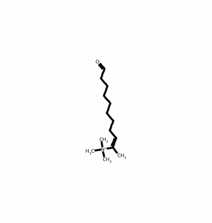 CC(=CCCCCCCCC=O)[N+](C)(C)C